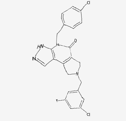 O=c1c2c(c3cn[nH]c3n1Cc1ccc(Cl)cc1)CN(Cc1cc(F)cc(Cl)c1)C2